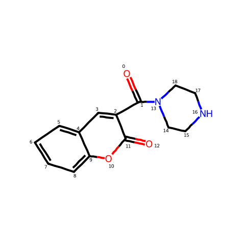 O=C(c1cc2ccccc2oc1=O)N1CCNCC1